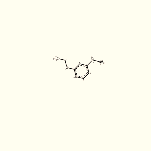 CCOc1cc(NN)ccn1